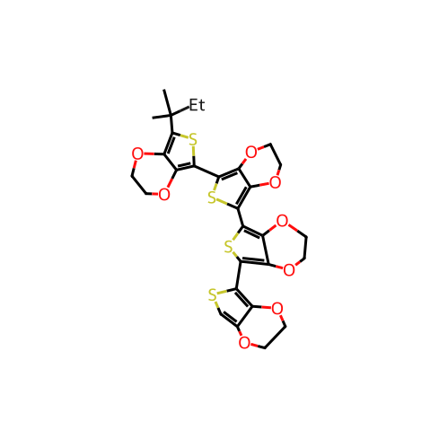 CCC(C)(C)c1sc(-c2sc(-c3sc(-c4scc5c4OCCO5)c4c3OCCO4)c3c2OCCO3)c2c1OCCO2